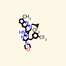 CC1CCc2cc(CNc3ncc(N4CCOCC4)c(Cc4cc(C(F)(F)F)cc(C(F)(F)F)c4)n3)c(N(CC3CC3)CC3CC3)nc21